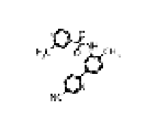 Cc1ccc(-c2ccc(C#N)cn2)cc1NS(=O)(=O)c1ccnc(C(F)(F)F)c1